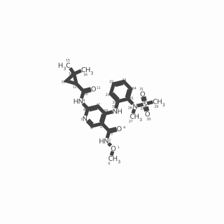 CONC(=O)c1cnc(NC(=O)C2CC2(C)C)cc1Nc1ccccc1N(C)S(C)(=O)=O